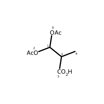 CC(=O)OC(OC(C)=O)C(C)C(=O)O